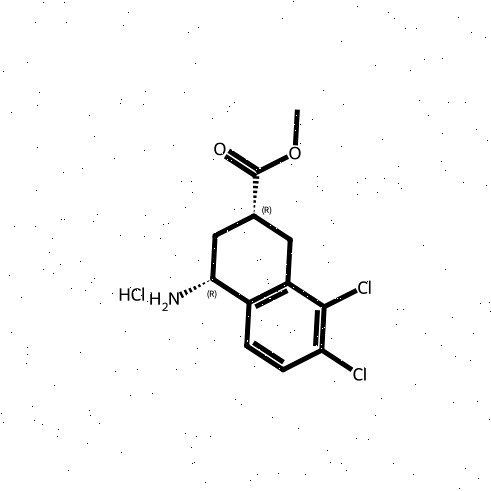 COC(=O)[C@@H]1Cc2c(ccc(Cl)c2Cl)[C@H](N)C1.Cl